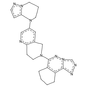 c1cc2n(n1)CCCN2c1cnc2c(c1)CN(c1nn3cnnc3c3c1CCCC3)CC2